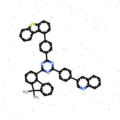 CC1(C)c2ccccc2-c2c(-c3nc(-c4ccc(-c5cnc6ccccc6c5)cc4)nc(-c4ccc(-c5cccc6sc7ccccc7c56)cc4)n3)cccc21